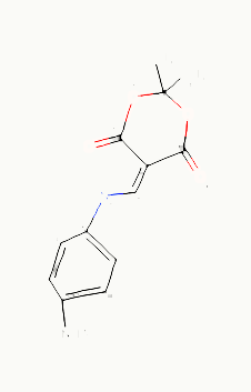 CC(=O)Nc1ccc(NC=C2C(=O)OC(C)(C)OC2=O)cc1